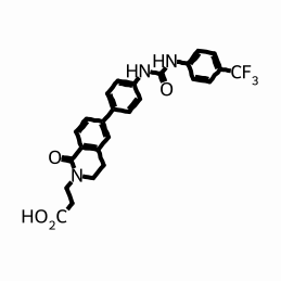 O=C(O)CCN1CCc2cc(-c3ccc(NC(=O)Nc4ccc(C(F)(F)F)cc4)cc3)ccc2C1=O